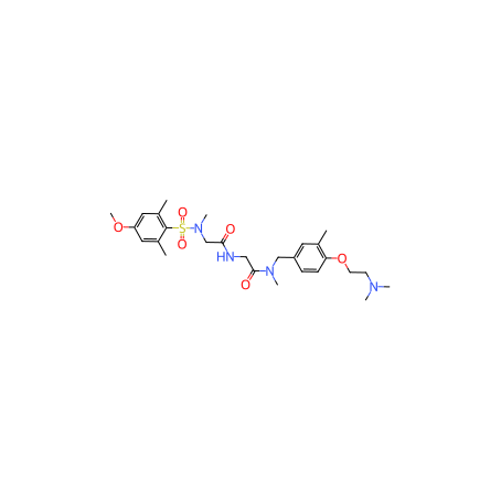 COc1cc(C)c(S(=O)(=O)N(C)CC(=O)NCC(=O)N(C)Cc2ccc(OCCN(C)C)c(C)c2)c(C)c1